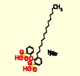 CCCCCCCCCCCCCCCCc1cccc(S(=O)(=O)O)c1Oc1ccccc1S(=O)(=O)O.[Na].[Na]